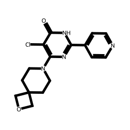 O=c1[nH]c(-c2ccncc2)nc(N2CCC3(CC2)COC3)c1Cl